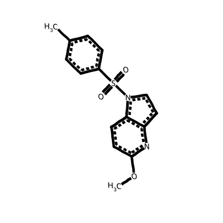 COc1ccc2c(ccn2S(=O)(=O)c2ccc(C)cc2)n1